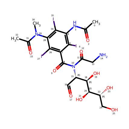 CC(=O)Nc1c(I)c(C(=O)N(C(=O)CN)[C@@H](C=O)[C@@H](O)[C@H](O)[C@H](O)CO)c(I)c(N(C)C(C)=O)c1I